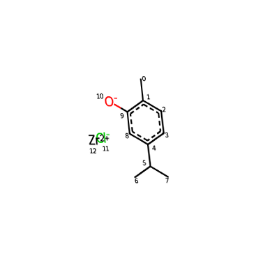 Cc1ccc(C(C)C)cc1[O-].[Cl-].[Zr+2]